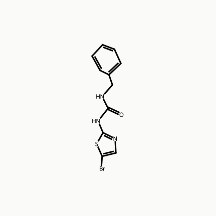 O=C(NCc1ccccc1)Nc1ncc(Br)s1